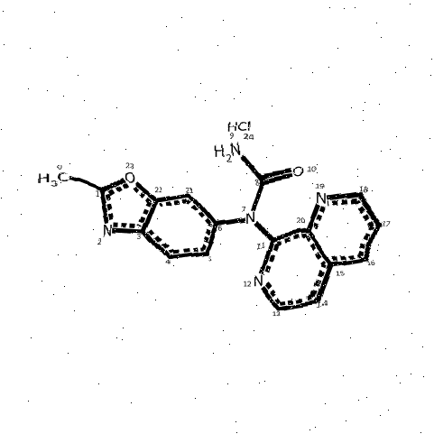 Cc1nc2ccc(N(C(N)=O)c3nccc4cccnc34)cc2o1.Cl